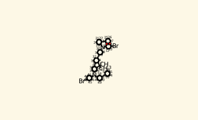 CC1(C)c2cc(-c3ccc(N(c4ccc(Br)cc4)c4ccccc4-c4ccccc4)cc3)ccc2-c2ccc(N(c3ccc(Br)cc3)c3cccc(-c4ccccc4)c3)cc21